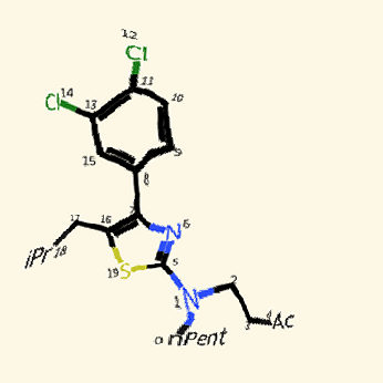 CCCCCN(CCC(C)=O)c1nc(-c2ccc(Cl)c(Cl)c2)c(CC(C)C)s1